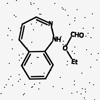 C1=Cc2ccccc2NN=C1.CCOC=O